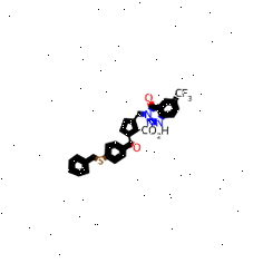 O=C(O)[C@H]1[C@H](Cn2nnc3ccc(C(F)(F)F)cc3c2=O)CC[C@@H]1C(=O)c1ccc(SCc2ccccc2)cc1